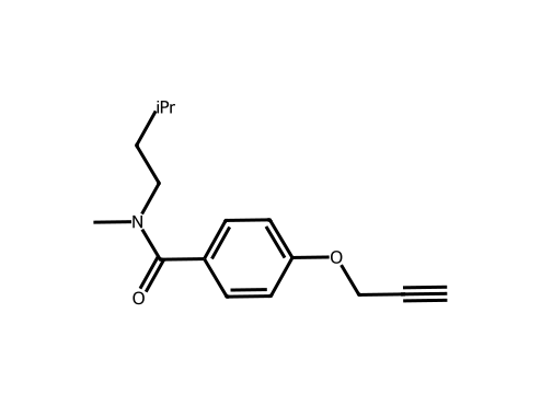 C#CCOc1ccc(C(=O)N(C)CCC(C)C)cc1